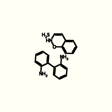 C1=Cc2ccccc2ON1.Nc1ccccc1-c1ccccc1N.S